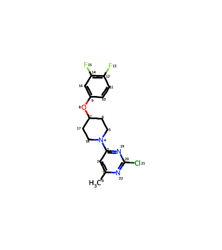 Cc1cc(N2CCC(Oc3ccc(F)c(F)c3)CC2)nc(Cl)n1